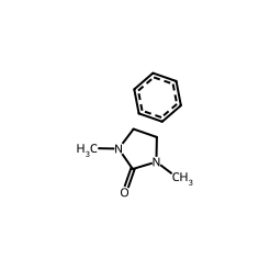 CN1CCN(C)C1=O.c1ccccc1